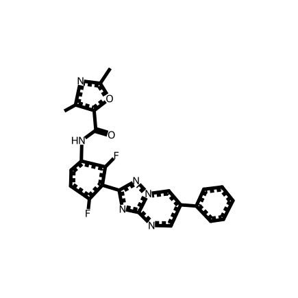 Cc1nc(C)c(C(=O)Nc2ccc(F)c(-c3nc4ncc(-c5ccccc5)cn4n3)c2F)o1